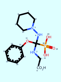 O=C(O)CNC(NN1CCCCC1)(Oc1ccccc1)P(=O)(O)O